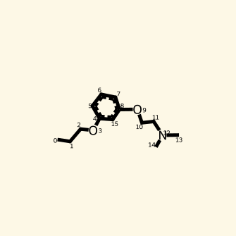 CCCOc1cccc(OCCN(C)C)c1